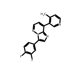 Cc1ccncc1-c1ccnn2c(-c3ccc(F)c(F)c3)cnc12